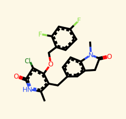 Cc1[nH]c(=O)c(Cl)c(OCc2ccc(F)cc2F)c1Cc1ccc2c(c1)CC(=O)N2C